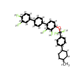 CC1CCC(c2ccc(C(F)(F)Oc3ccc(-c4ccc(-c5ccc(F)c(F)c5)cc4)c(F)c3F)cc2)CC1